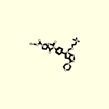 CC(C)(C)OC(=O)N1CCC2(C1)NC(=O)N(c1ccc(-c3cc4c(N5CCOCC5)ncnc4n3COCC[Si](C)(C)C)cc1)C2=O